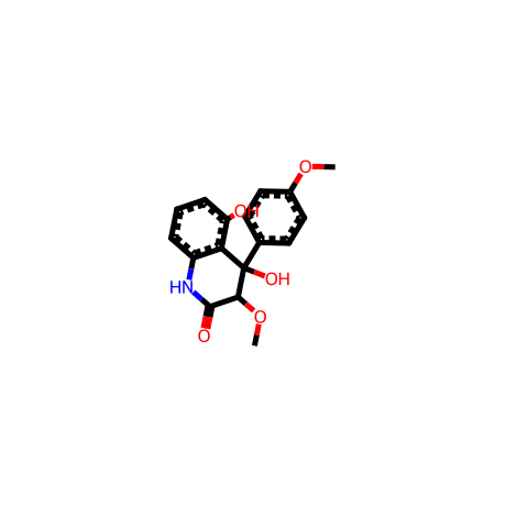 COc1ccc(C2(O)c3c(O)cccc3NC(=O)C2OC)cc1